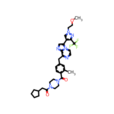 COCCn1cc(-c2cnc3c(Cc4ccc(C(=O)N5CCN(C(=O)CC6CCCC6)CC5)c(C)c4)nccn23)c(C(F)(F)F)n1